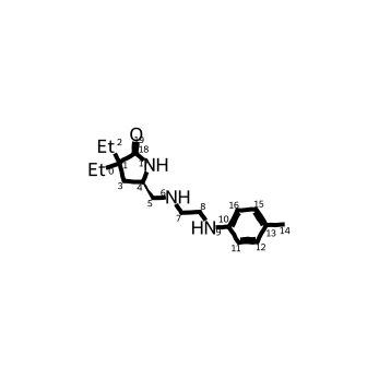 CCC1(CC)C[C@H](CNCCNc2ccc(C)cc2)NC1=O